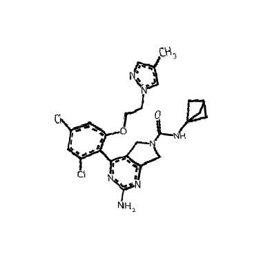 Cc1cnn(CCOc2cc(Cl)cc(Cl)c2-c2nc(N)nc3c2CN(C(=O)NC24CC(C2)C4)C3)c1